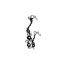 C=CC(=O)OCCCCCCOc1ccc(C(=O)Oc2ccc(OC(=O)C3CCC(C)CC3)c(C=NN(CCCCCC)c3nc4ccccc4s3)c2)cc1